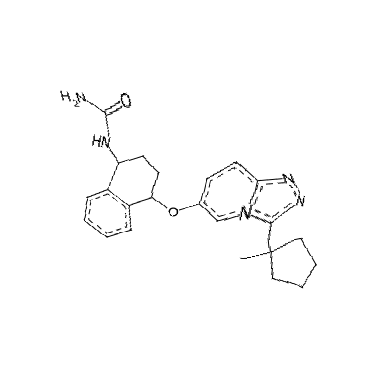 CC1(c2nnc3ccc(OC4CCC(NC(N)=O)c5ccccc54)cn23)CCCC1